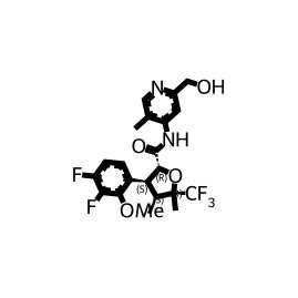 COc1c([C@H]2[C@H](C(=O)Nc3cc(CO)ncc3C)O[C@@](C)(C(F)(F)F)[C@H]2C)ccc(F)c1F